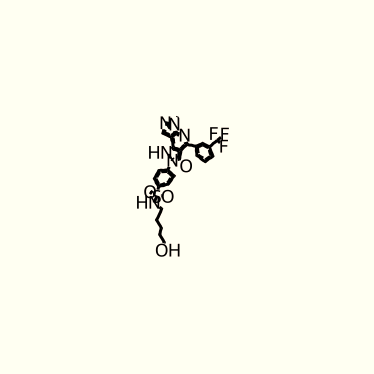 Cn1ncc2c3[nH]n(-c4ccc(S(=O)(=O)NCCCCCO)cc4)c(=O)c3c(-c3cccc(C(F)(F)F)c3)nc21